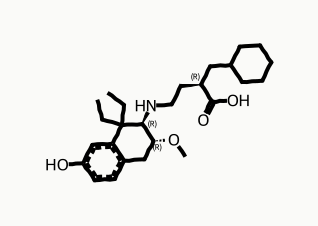 CCC1(CC)c2cc(O)ccc2C[C@@H](OC)[C@@H]1NCC[C@@H](CC1CCCCC1)C(=O)O